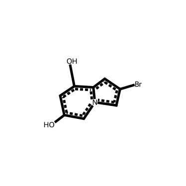 Oc1cc(O)c2cc(Br)cn2c1